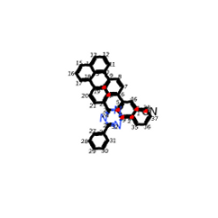 N#Cc1cccc(-c2ccc(-c3cccc4cccc(-c5ccc(-c6nc(-c7ccccc7)nc(-c7ccccc7)n6)cc5)c34)cc2)c1